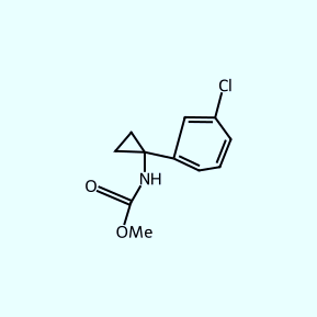 COC(=O)NC1(c2cccc(Cl)c2)CC1